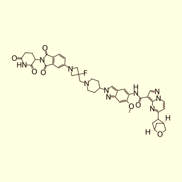 COc1cc2nn(C3CCN(CC4(F)CN(c5ccc6c(c5)C(=O)N(C5CCC(=O)NC5=O)C6=O)C4)CC3)cc2cc1NC(=O)c1cnn2ccc(C3C[C@H]4C[C@@H]3CO4)nc12